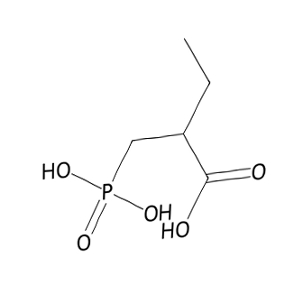 CCC(CP(=O)(O)O)C(=O)O